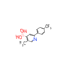 OB(O)c1cc(-c2ccc(C(F)(F)F)cc2)ncc1C(F)(F)F